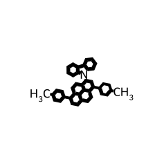 CC1=CC=C(c2cc(-n3c4ccccc4c4ccccc43)c3ccc4c(-c5ccc(C)cc5)ccc5ccc2c3c54)CC1